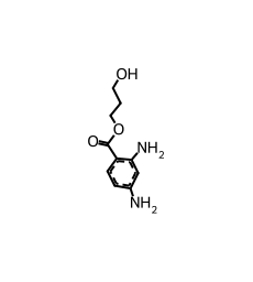 Nc1ccc(C(=O)OCCCO)c(N)c1